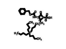 CCCC[N+](CCCC)(CCCC)CCCC.C[C@H]1[C@H](NC(=O)OCc2ccccc2)C(=O)N1S(=O)(=O)O